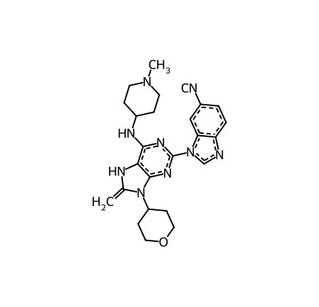 [C-]#[N+]c1ccc2ncn(-c3nc(NC4CCN(C)CC4)c4c(n3)N(C3CCOCC3)C(=C)N4)c2c1